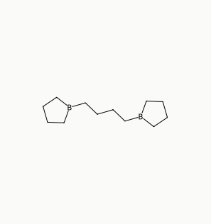 C1CCB(CCCCB2CCCC2)C1